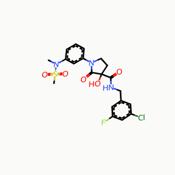 CN(c1cccc(N2CCC(O)(C(=O)NCc3cc(F)cc(Cl)c3)C2=O)c1)S(C)(=O)=O